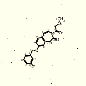 COCC(=O)N1C=Cc2ccc(OCc3cccc(F)c3)cc2CC1=O